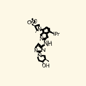 CC(C)c1ccc(N2C[C@H](CS(C)(=O)=O)[C@H]2C)c2cnc(Nc3ccnc(N4CC[C@H](O)[C@H](C)C4)n3)cc12